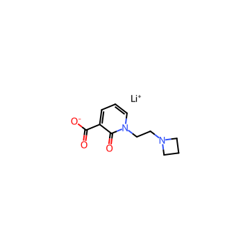 O=C([O-])c1cccn(CCN2CCC2)c1=O.[Li+]